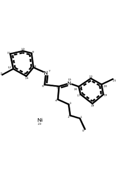 CCCCCC(C=Nc1cccc(C)c1)=Nc1cccc(C)c1.[Ni]